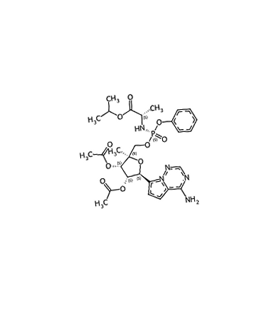 CC(=O)O[C@H]1[C@H](c2ccc3c(N)ncnn23)O[C@](C)(CO[P@@](=O)(N[C@@H](C)C(=O)OC(C)C)Oc2ccccc2)[C@H]1OC(C)=O